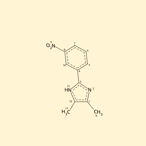 Cc1nc(-c2cccc([N+](=O)[O-])c2)[nH]c1C